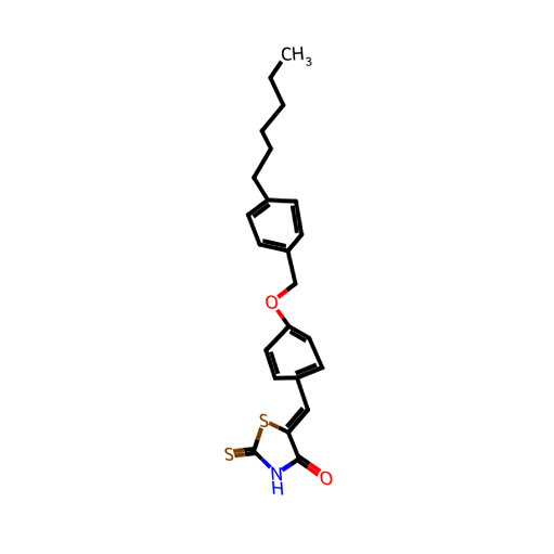 CCCCCCc1ccc(COc2ccc(/C=C3\SC(=S)NC3=O)cc2)cc1